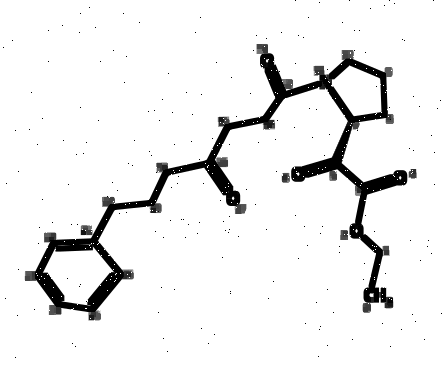 CCOC(=O)C(=O)[C@@H]1CCCN1C(=O)CCC(=O)CCCc1ccccc1